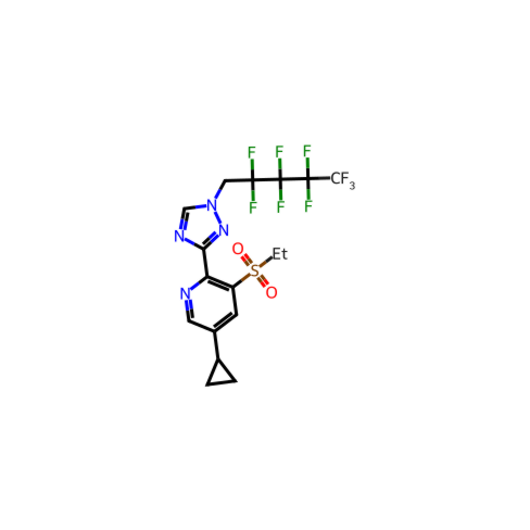 CCS(=O)(=O)c1cc(C2CC2)cnc1-c1ncn(CC(F)(F)C(F)(F)C(F)(F)C(F)(F)F)n1